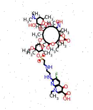 CC[C@H]1OC(=O)[C@H](C)[C@@H](O[C@H]2C[C@@](C)(OC)[C@@H](OS(=O)(=O)CCNCCNc3nc4c(cc3F)c(=O)c(C(=O)O)cn4CC)[C@H](C)O2)[C@H](C)[C@@H](O[C@@H]2O[C@H](C)C[C@H](N(C)C)[C@H]2O)[C@](C)(O)C[C@@H](C)/C(=N\O)C(C)[C@H]2OC(=O)O[C@@]21C